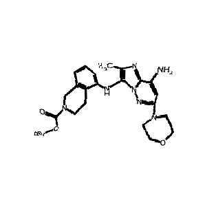 Cc1nc2c(N)cc(N3CCOCC3)nn2c1Nc1cccc2c1CCN(C(=O)OC(C)(C)C)C2